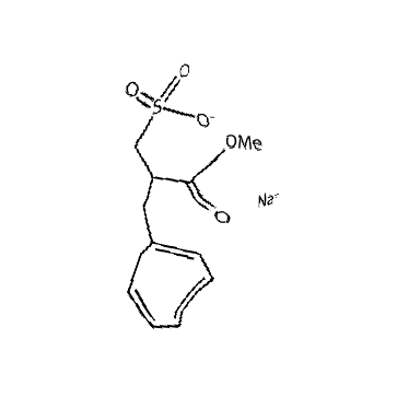 COC(=O)C(Cc1ccccc1)CS(=O)(=O)[O-].[Na+]